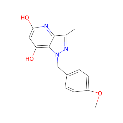 COc1ccc(Cn2nc(C)c3nc(O)cc(O)c32)cc1